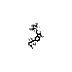 [2H]c1c(CCN(C([2H])([2H])[2H])C([2H])([2H])[2H])c2cc(C([2H])([2H])[C@@]3([2H])COC(=O)N3[2H])ccc2n1[2H]